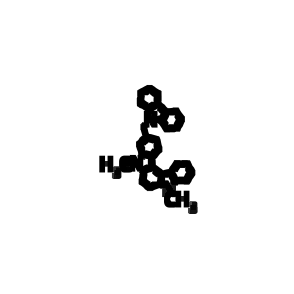 Cn1c2ccccc2c2c3c4ccc(Cn5c6ccccc6c6ccccc65)cc4n(C)c3ccc21